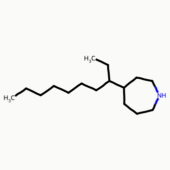 CCCCCCCC(CC)C1CCCNCC1